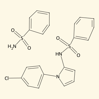 NS(=O)(=O)c1ccccc1.O=S(=O)(Nc1cccn1-c1ccc(Cl)cc1)c1ccccc1